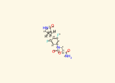 NC(=O)[C@H]1CN(c2cc(F)c([C@@H]3[C@H]4CNC(=O)[C@H]43)c(F)c2)C(=O)O1